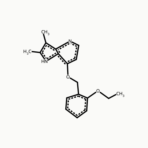 CCOc1ccccc1COc1ccnc2c(C)c(C)[nH]c12